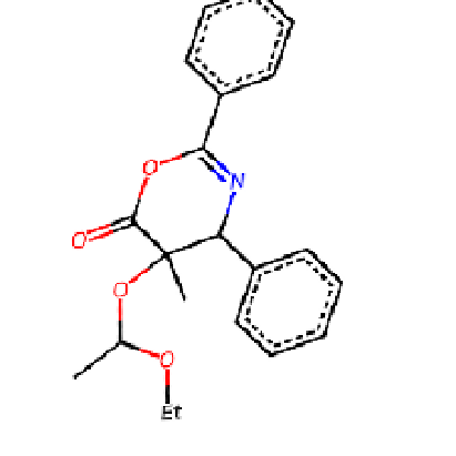 CCOC(C)OC1(C)C(=O)OC(c2ccccc2)=NC1c1ccccc1